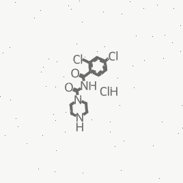 Cl.O=C(NC(=O)N1CCNCC1)c1ccc(Cl)cc1Cl